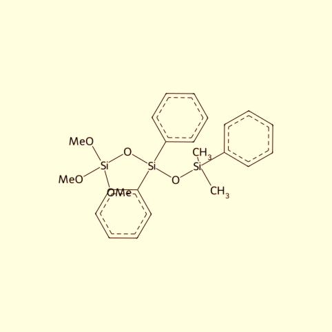 CO[Si](OC)(OC)O[Si](O[Si](C)(C)c1ccccc1)(c1ccccc1)c1ccccc1